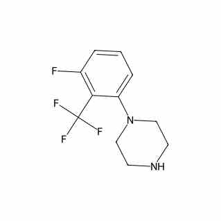 Fc1cccc(N2CCNCC2)c1C(F)(F)F